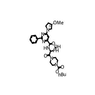 CCCCOC(=O)N1CCN(C(=O)C(NC(=O)c2cc(N3CC[C@H](OC)C3)nc(-c3ccccc3)n2)PO)CC1